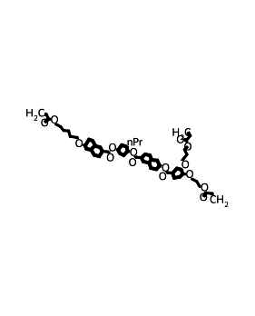 C=CC(=O)OCCCCCCOc1ccc2cc(C(=O)Oc3ccc(OC(=O)c4ccc5cc(OC(=O)c6ccc(OCCCOC(=O)C=C)c(OCCCOC(=O)C=C)c6)ccc5c4)c(CCC)c3)ccc2c1